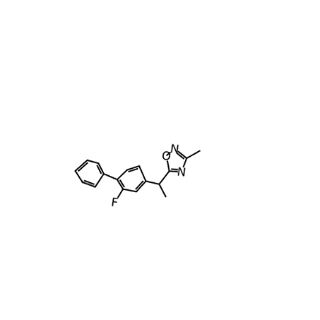 Cc1noc(C(C)c2ccc(-c3ccccc3)c(F)c2)n1